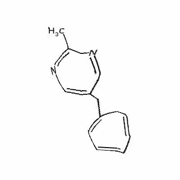 Cc1ncc(-c2ccccc2)cn1